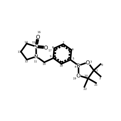 CC1(C)OB(c2cccc(CN3CCCS3(=O)=O)c2)OC1(C)C